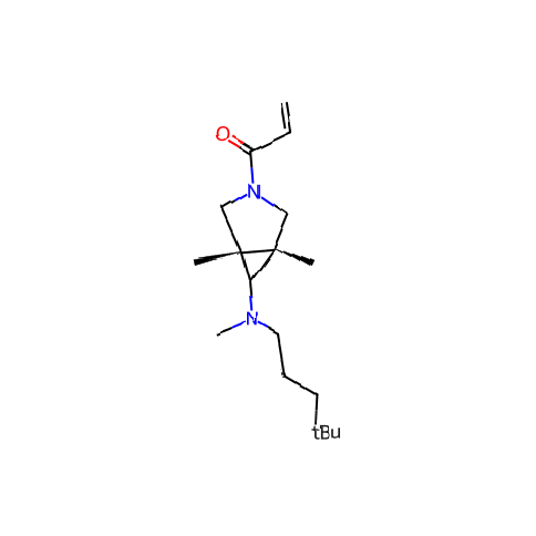 C=CC(=O)N1C[C@@]2(C)C(N(C)CCCC(C)(C)C)[C@@]2(C)C1